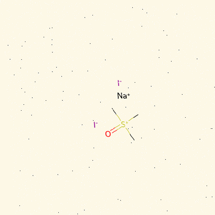 C[S+](C)(C)=O.[I-].[I-].[Na+]